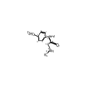 O=Cc1ccc(BC(=O)OBO)cc1